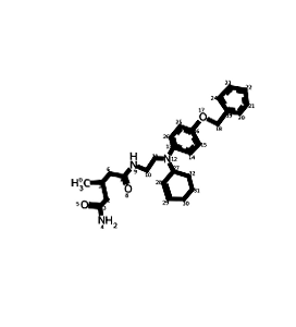 CC(CC(N)=O)CC(=O)NCCN(c1ccc(OCc2ccccc2)cc1)C1C=CCCC1